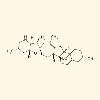 CC1=C2C[C@H]3C(CC=C4C[C@@H](O)CCC43C)[C@@H]2CC[C@@]2(C1)O[C@@H]1C[C@H](C)CN[C@H]1[C@H]2C